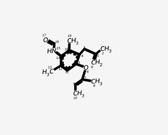 C=C(C)Cc1c(OC(C)=CC)cc(C)c(NC=O)c1C